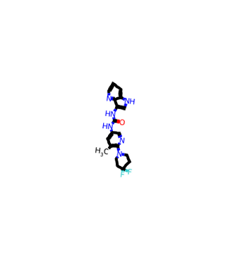 Cc1cc(NC(=O)Nc2c[nH]c3cccnc23)cnc1N1CCC(F)(F)CC1